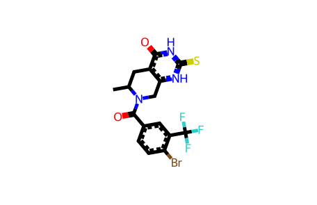 CC1Cc2c([nH]c(=S)[nH]c2=O)CN1C(=O)c1ccc(Br)c(C(F)(F)F)c1